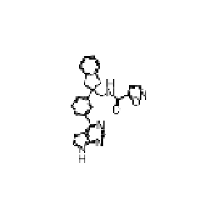 O=C(NCC1(c2cccc(-c3ncnc4[nH]ccc34)c2)Cc2ccccc2C1)c1ccno1